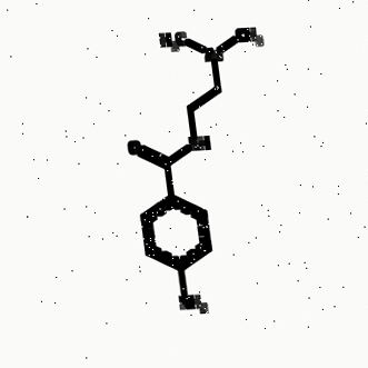 C[As](C)CCNC(=O)c1ccc(N)cc1